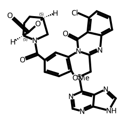 COc1ccc(C(=O)N2C[C@@H]3CC[C@H]2C(=O)O3)cc1-n1c(CSc2ncnc3[nH]cnc23)nc2cccc(Cl)c2c1=O